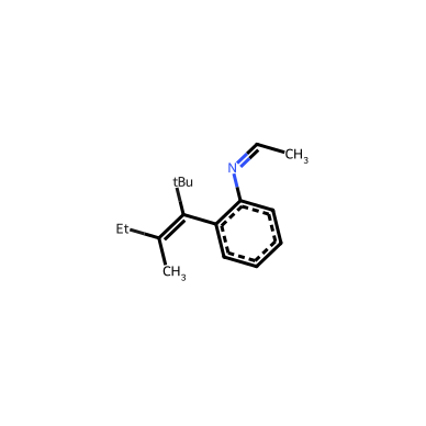 C/C=N\c1ccccc1/C(=C(\C)CC)C(C)(C)C